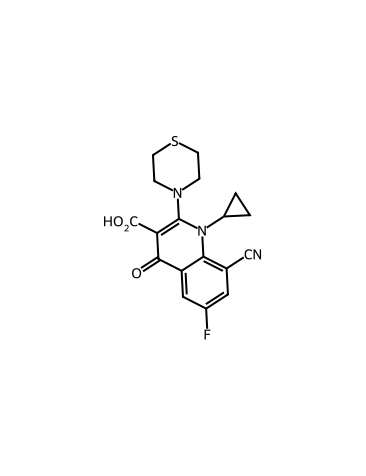 N#Cc1cc(F)cc2c(=O)c(C(=O)O)c(N3CCSCC3)n(C3CC3)c12